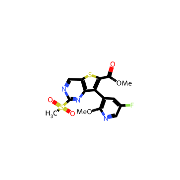 COC(=O)c1sc2cnc(S(C)(=O)=O)nc2c1-c1cc(F)cnc1OC